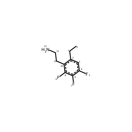 CCc1cc(F)c(F)c(F)c1CCN